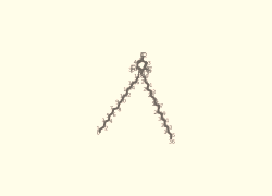 CCCCCCCCCCCCCCCCCCN(CCCCCCCCCCCCCCCCCC)c1c(F)cc(F)cc1F